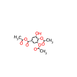 CC(=O)OC(=O)c1cc(O)c(OC(C)=O)c(OC(C)=O)c1